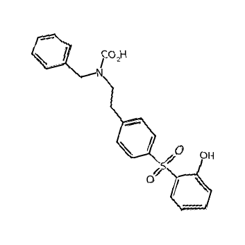 O=C(O)N(CCc1ccc(S(=O)(=O)c2ccccc2O)cc1)Cc1ccccc1